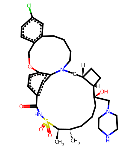 C[C@@H]1[C@@H](C)CCC[C@@](O)(CN2CCNCC2)[C@@H]2CC[C@H]2CN2CCCCc3cc(Cl)ccc3COc3ccc(cc32)C(=O)NS1(=O)=O